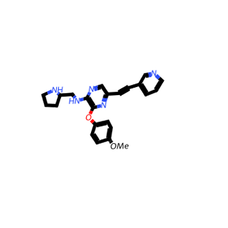 COc1ccc(Oc2nc(C#Cc3cccnc3)cnc2NCC2CCCN2)cc1